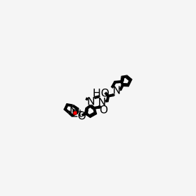 CCN1C2CCC1CC(Oc1ccc3c(c1)N(C)CCN(CC(O)CN1CCc4ccccc4C1)C3=O)C2